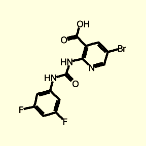 O=C(Nc1cc(F)cc(F)c1)Nc1ncc(Br)cc1C(=O)O